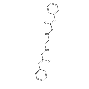 [O-]/[P+](=C\c1ccccc1)ONCCNO/[P+]([O-])=C/c1ccccc1